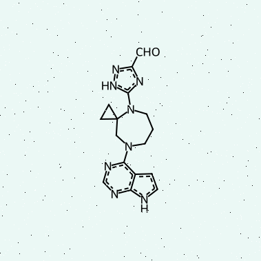 O=Cc1n[nH]c(N2CCCN(c3ncnc4[nH]ccc34)CC23CC3)n1